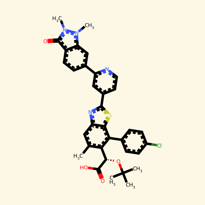 Cc1cc2nc(-c3ccnc(-c4ccc5c(=O)n(C)n(C)c5c4)c3)sc2c(-c2ccc(Cl)cc2)c1[C@H](OC(C)(C)C)C(=O)O